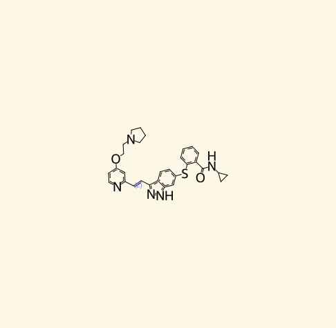 O=C(NC1CC1)c1ccccc1Sc1ccc2c(/C=C/c3cc(OCCN4CCCC4)ccn3)n[nH]c2c1